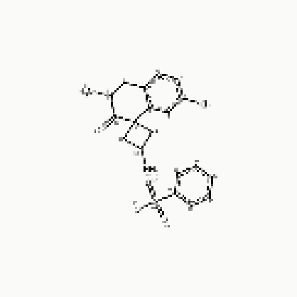 CN1Cc2ccc(Cl)cc2C2(CC(N)C2)C1=O.O=S(=O)(O)c1ccccc1